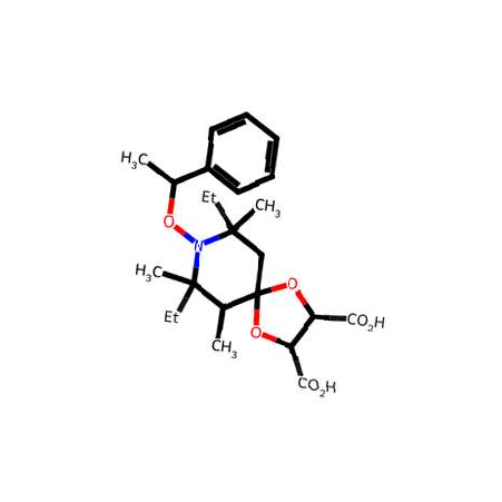 CCC1(C)CC2(OC(C(=O)O)C(C(=O)O)O2)C(C)C(C)(CC)N1OC(C)c1ccccc1